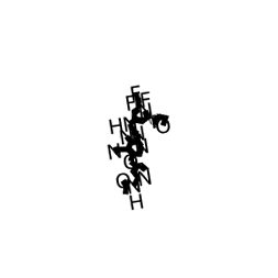 CC(=O)Nc1cc(Oc2cnc3nc(Nc4cc([C@@H]5CCOC5)nc(C(F)(F)F)c4)n(C)c3c2C#N)ccn1